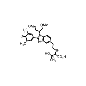 COCC(COC)n1c(-c2cc(C)c(=O)n(C)c2)nc2cc(CCNC(C(=O)O)[C@@H](C)O)ccc21